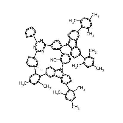 Cc1cc(C)c(-c2ccc3c(c2)c2cc(-c4c(C)cc(C)cc4C)ccc2n3-c2ccc(-c3nc(-c4ccccc4)nc(-c4ccccc4)n3)cc2-c2cccc(-n3c4ccc(-c5c(C)cc(C)cc5C)cc4c4cc(-c5c(C)cc(C)cc5C)ccc43)c2C#N)c(C)c1